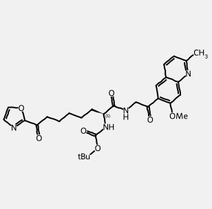 COc1cc2nc(C)ccc2cc1C(=O)CNC(=O)[C@H](CCCCCC(=O)c1ncco1)NC(=O)OC(C)(C)C